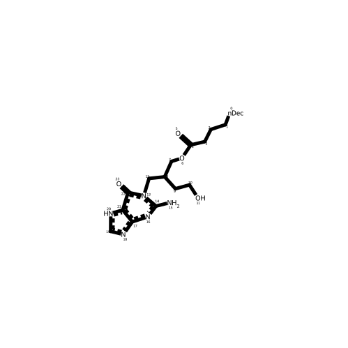 CCCCCCCCCCCCCC(=O)OCC(CCO)Cn1c(N)nc2nc[nH]c2c1=O